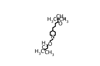 CC(C)(C)CCOCCN1CCC(CCCC(=O)C(C)(C)C)CC1